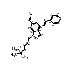 C[Si](C)(C)CCOCn1ncc2c(C=Cc3ccncc3)cc(C=O)cc21